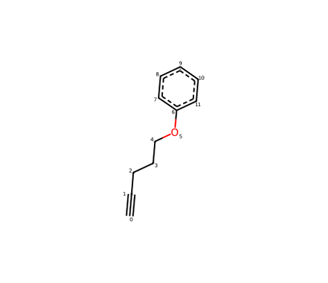 C#CCCCOc1cc[c]cc1